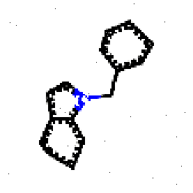 [c]1ccc2ccn(Cc3ccccc3)c2c1